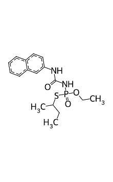 CCOP(=O)(NC(=O)Nc1ccc2ccccc2c1)SC(C)CC